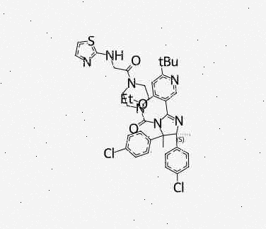 CCOc1cc(C(C)(C)C)ncc1C1=N[C@@](C)(c2ccc(Cl)cc2)C(C)(c2ccc(Cl)cc2)N1C(=O)N1CCN(C(=O)CNc2nccs2)CC1